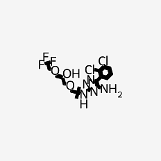 CC(C)(COC/C(O)=C/OCC(F)(F)F)Nc1nnc(-c2cccc(Cl)c2Cl)c(N)n1